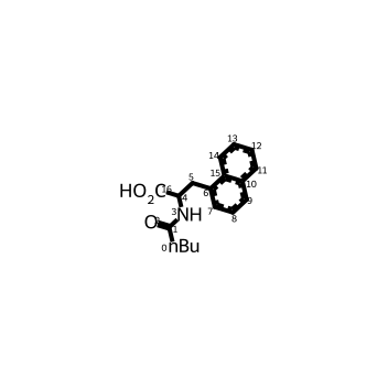 CCCCC(=O)NC(Cc1cccc2ccccc12)C(=O)O